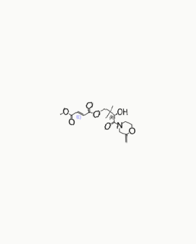 C=C1CN(C(=O)[C@H](O)C(C)(C)COC(=O)/C=C/C(=O)OC)CCO1